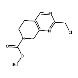 CC(C)(C)OC(=O)N1CCc2cnc(CCl)nc2C1